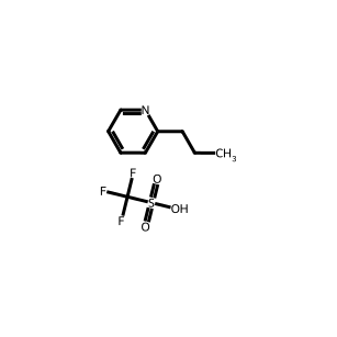 CCCc1ccccn1.O=S(=O)(O)C(F)(F)F